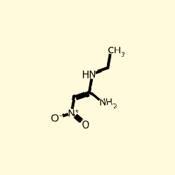 CCNC(N)=C[N+](=O)[O-]